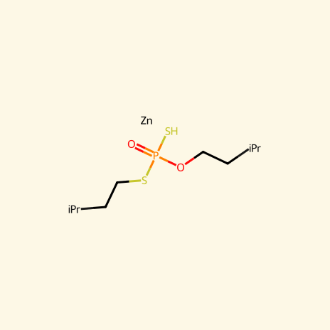 CC(C)CCOP(=O)(S)SCCC(C)C.[Zn]